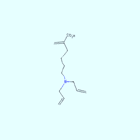 C=CCN(CC=C)CCCCC(=C)C(=O)O